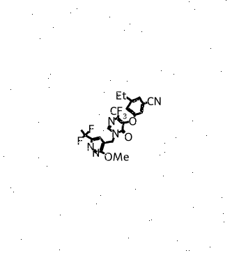 CCc1cc(C#N)cc(Oc2c(C(F)(F)F)ncn(Cc3cc(C(C)(F)F)nnc3OC)c2=O)c1